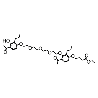 CCCc1c(OCCOCCOCCOCCOc2c(C(C)=O)ccc(OCCCC(=O)OCC)c2CCC)ccc(C(C)=O)c1O